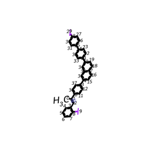 C/C(=C\c1ccccc1I)c1ccc(-c2ccc3ccc(-c4ccc(-c5ccc(I)cc5)cc4)cc3c2)cc1